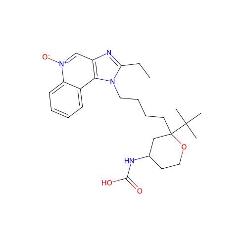 CCc1nc2c[n+]([O-])c3ccccc3c2n1CCCCC1(C(C)(C)C)CC(NC(=O)O)CCO1